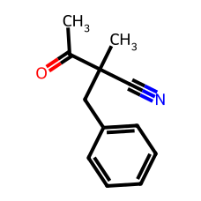 CC(=O)C(C)(C#N)Cc1ccccc1